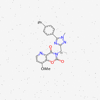 COc1ccnc2c(=O)n([C@@H](C)c3nc(-c4ccc(C(C)C)cc4)n(C)n3)c(=O)oc12